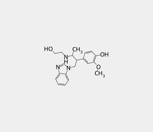 COc1cc(C(Cn2cnc3ccccc32)C(C)NCCO)ccc1O